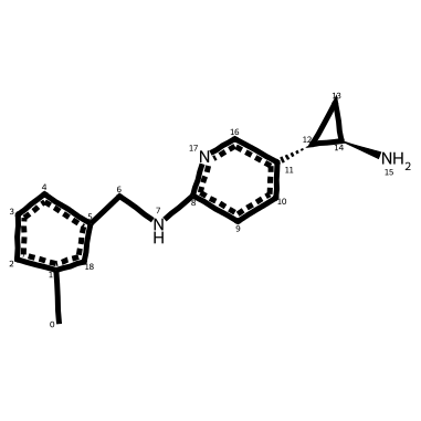 Cc1cccc(CNc2ccc([C@@H]3C[C@H]3N)cn2)c1